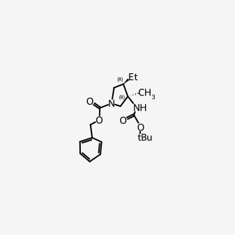 CC[C@@H]1CN(C(=O)OCc2ccccc2)C[C@]1(C)NC(=O)OC(C)(C)C